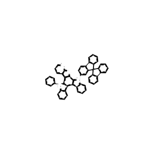 c1ccc(-n2c3ccccc3c3c4c5ccccc5n(-c5ccc6c(c5)C5(c7ccccc7-c7ccccc75)c5ccccc5-6)c4c4sc5ncccc5c4c32)cc1